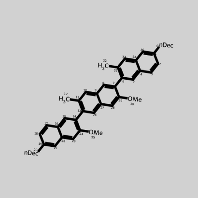 CCCCCCCCCCc1ccc2cc(-c3cc4cc(C)c(-c5cc6ccc(CCCCCCCCCC)cc6cc5OC)cc4cc3OC)c(C)cc2c1